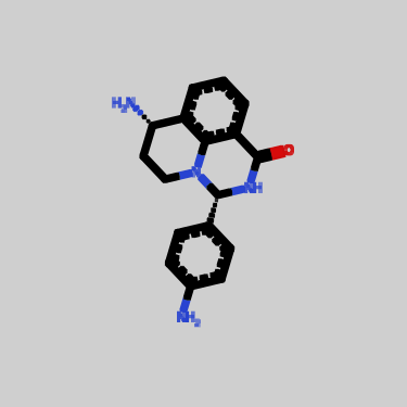 Nc1ccc([C@H]2NC(=O)c3cccc4c3N2CC[C@@H]4N)cc1